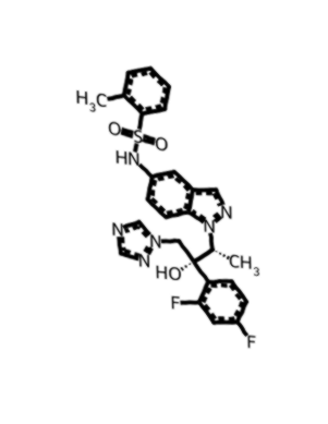 Cc1ccccc1S(=O)(=O)Nc1ccc2c(cnn2[C@H](C)[C@](O)(Cn2cncn2)c2ccc(F)cc2F)c1